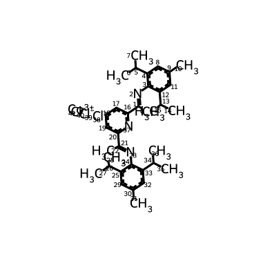 CC(=Nc1c(C(C)C)cc(C)cc1C(C)C)c1cccc(C(C)=Nc2c(C(C)C)cc(C)cc2C(C)C)n1.[Cl-].[Cl-].[Cl-].[Co+3]